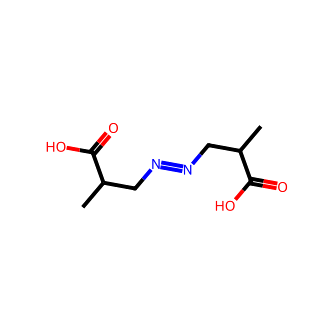 CC(CN=NCC(C)C(=O)O)C(=O)O